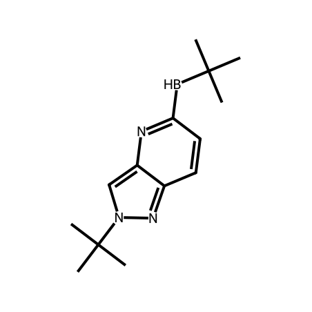 CC(C)(C)Bc1ccc2nn(C(C)(C)C)cc2n1